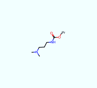 CC(C)OC(=O)NCCCN(C)C